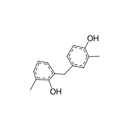 Cc1cc(Cc2cccc(C)c2O)ccc1O